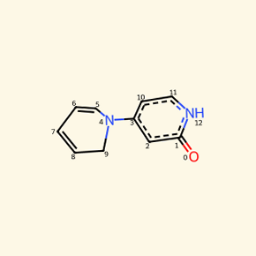 O=c1cc(N2C=CC=CC2)cc[nH]1